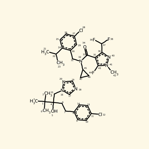 CC(C)(C)C(O)(CCc1ccc(Cl)cc1)Cn1cncn1.CC(C)c1ccc(Cl)cc1CN(C(=O)c1c(C(F)F)nn(C)c1F)C1CC1